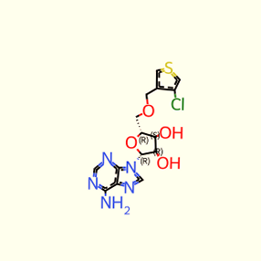 Nc1ncnc2c1ncn2[C@@H]1O[C@H](COCc2cscc2Cl)[C@@H](O)[C@H]1O